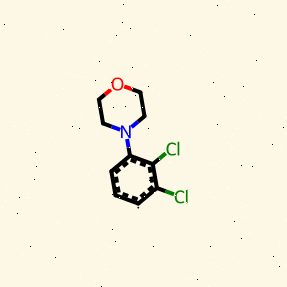 Clc1[c]ccc(N2CCOCC2)c1Cl